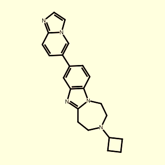 c1cn2cc(-c3ccc4c(c3)nc3n4CCN(C4CCC4)CC3)ccc2n1